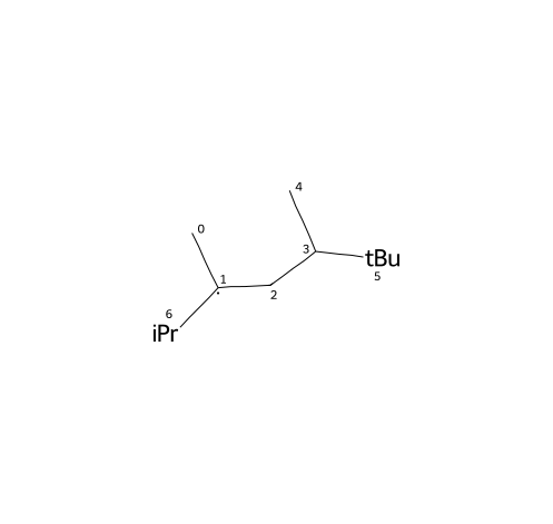 C[C](CC(C)C(C)(C)C)C(C)C